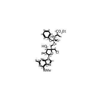 CCOC(=O)[C@@H](C)NP(=S)(OC[C@@]1(CCl)O[C@@H](n2cnc3c(NC)nc(C)nc32)[C@@H](F)[C@@H]1O)Oc1ccccc1